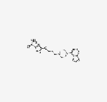 NC(=O)c1csc(OCCCN2CCN(c3cccc4sccc34)CC2)n1